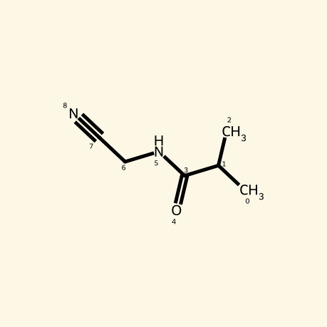 CC(C)C(=O)NCC#N